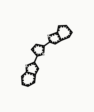 c1ccc2sc(-c3ccc(-c4cc5ccccc5s4)s3)cc2c1